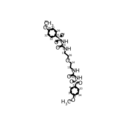 COc1ccc(S(=O)(=O)NC(=O)NCCOCCNC(=O)NS(=O)(=O)c2ccc(OC)cc2)cc1